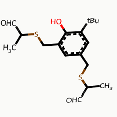 CC(C=O)SCc1cc(CSC(C)C=O)c(O)c(C(C)(C)C)c1